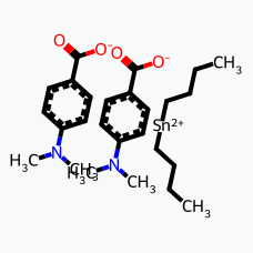 CCC[CH2][Sn+2][CH2]CCC.CN(C)c1ccc(C(=O)[O-])cc1.CN(C)c1ccc(C(=O)[O-])cc1